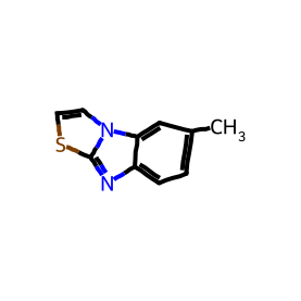 Cc1ccc2nc3sccn3c2c1